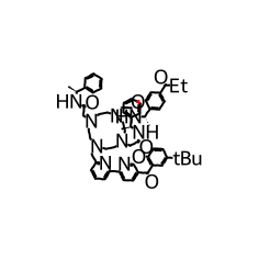 CCC(=O)c1ccc([C@H](C)NC(=O)CN2CCN(CC(=O)N[C@@H](C)c3ccccc3)CCN(Cc3cccc(-c4ccc5c(=O)c6cc(C(C)(C)C)ccc6oc5n4)n3)CCN(CC(=O)N[C@@H](C)c3ccccc3)CC2)cc1